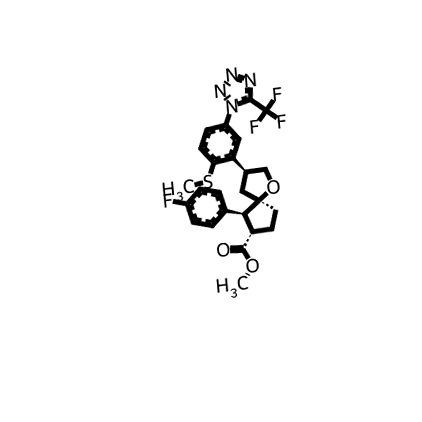 COC(=O)[C@H]1CC[C@@]2(C[C@@H](c3cc(-n4nnnc4C(F)(F)F)ccc3SC)CO2)[C@@H]1c1ccc(F)cc1